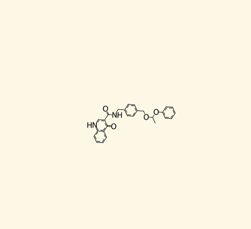 CC(OCc1ccc(CNC(=O)c2c[nH]c3ccccc3c2=O)cc1)Oc1ccccc1